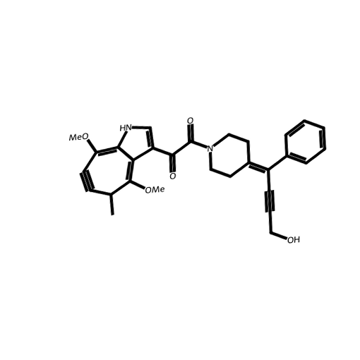 COC1=c2[nH]cc(C(=O)C(=O)N3CCC(=C(C#CCO)c4ccccc4)CC3)c2=C(OC)C(C)C#C1